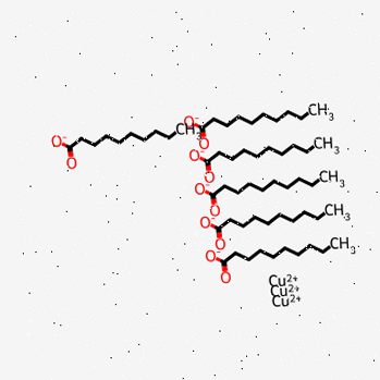 CCCCCCCCCC(=O)[O-].CCCCCCCCCC(=O)[O-].CCCCCCCCCC(=O)[O-].CCCCCCCCCC(=O)[O-].CCCCCCCCCC(=O)[O-].CCCCCCCCCC(=O)[O-].[Cu+2].[Cu+2].[Cu+2]